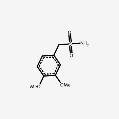 COc1ccc(CS(N)(=O)=O)cc1OC